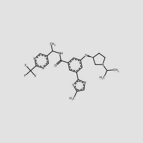 Cc1cnc(-c2cc(O[C@H]3CCN(C(C)C)C3)cc(C(=O)NC(C)c3cnc(C(F)(F)F)nc3)c2)s1